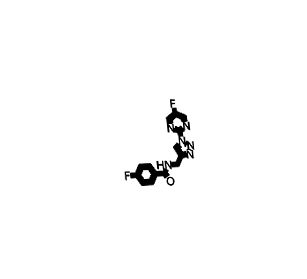 O=C(NCc1cn(-c2ncc(F)cn2)nn1)c1ccc(F)cc1